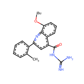 CCC(C)Oc1cccc2c(C(=O)NC(=N)N)cc(-c3ccccc3C)nc12